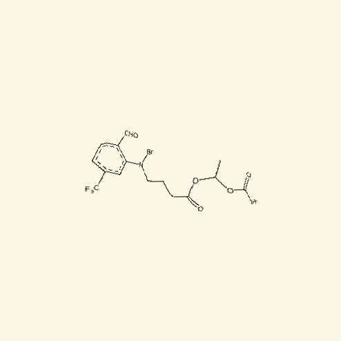 CC(OC(=O)CCCN(Br)c1cc(C(F)(F)F)ccc1C=O)OC(=O)C(C)C